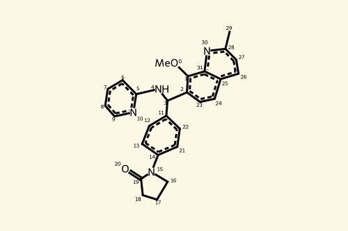 COc1c(C(Nc2ccccn2)c2ccc(N3CCCC3=O)cc2)ccc2ccc(C)nc12